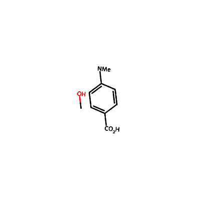 CNc1ccc(C(=O)O)cc1.CO